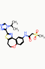 CC(C)n1cnnc1-c1nc2c(s1)CCOc1ccc(NC(=O)CS(C)(=O)=O)cc1-2